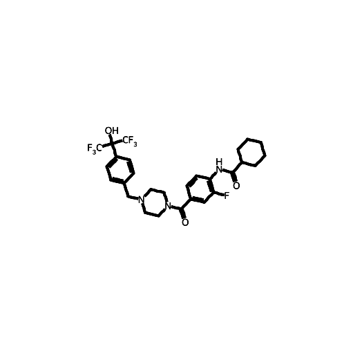 O=C(Nc1ccc(C(=O)N2CCN(Cc3ccc(C(O)(C(F)(F)F)C(F)(F)F)cc3)CC2)cc1F)C1CCCCC1